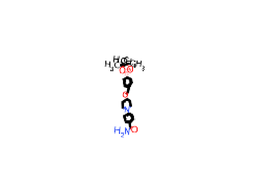 CC1(C)OB(c2ccc(COC3CCN(c4ccc(C(N)=O)cc4)CC3)cc2)OC1(C)C